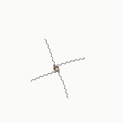 CCCCCCCCCCCC[CH2][Sn]1([CH2]CCCCCCCCCCCC)[S][Sn]([CH2]CCCCCCCCCCCC)([CH2]CCCCCCCCCCCC)[S]1